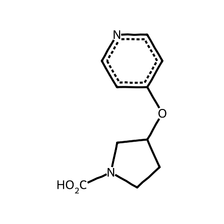 O=C(O)N1CCC(Oc2ccncc2)C1